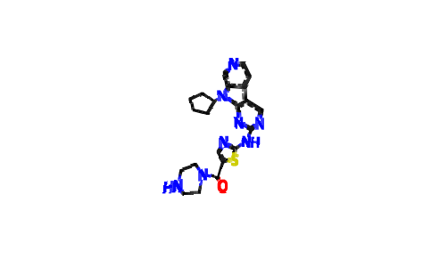 O=C(c1cnc(Nc2ncc3c4ccncc4n(C4CCCC4)c3n2)s1)N1CCNCC1